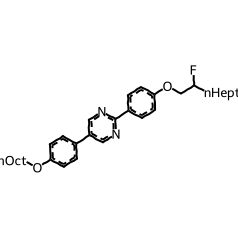 CCCCCCCCOc1ccc(-c2cnc(-c3ccc(OCC(F)CCCCCCC)cc3)nc2)cc1